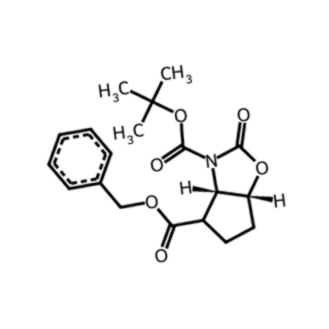 CC(C)(C)OC(=O)N1C(=O)O[C@@H]2CCC(C(=O)OCc3ccccc3)[C@@H]21